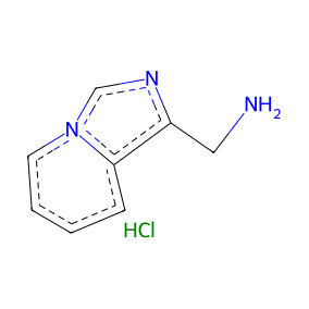 Cl.NCc1ncn2ccccc12